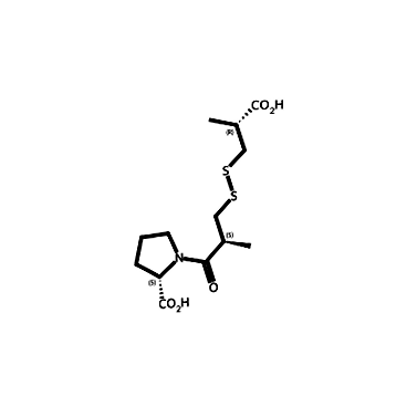 C[C@H](CSSC[C@H](C)C(=O)O)C(=O)N1CCC[C@H]1C(=O)O